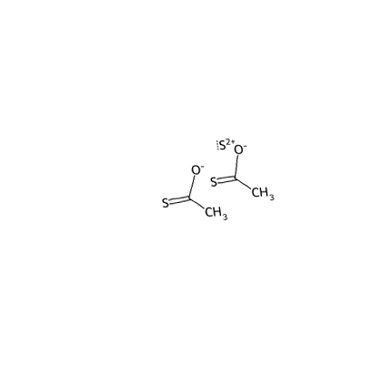 CC([O-])=S.CC([O-])=S.[S+2]